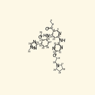 CCC(=O)c1cnc(Nc2cnc(OCCN3CCCC3)cn2)cc1Nc1cccc(-c2ncn(C)n2)c1OC